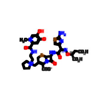 Cn1cc(O)c(=O)cc1C(=O)NCC[N+]1(CC2=C(C(=O)[O-])N3C(=O)C(NC(=O)/C(=N\O[C@@H](CC(=O)O)C(=O)O)c4csc(N)n4)C3SC2)CCCC1